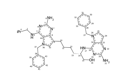 CC(C)CNc1nc(N)nc2c(CCCC[C@@H](CO)Nc3nc(N)nc4ccn(Cc5ccccc5)c34)cn(Cc3ccccc3)c12